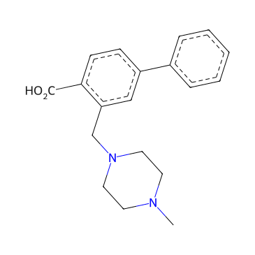 CN1CCN(Cc2cc(-c3ccccc3)ccc2C(=O)O)CC1